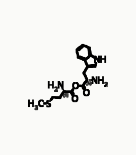 CSCC[C@H](N)C(=O)OC(=O)[C@@H](N)Cc1c[nH]c2ccccc12